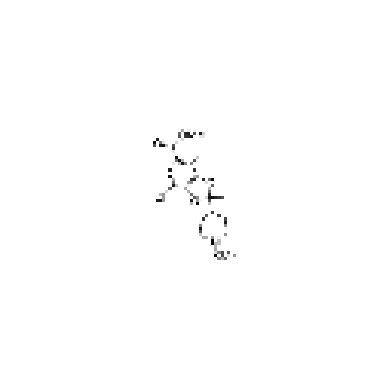 COC(=O)c1cc(Cl)c2c(c1C)OC(C)(C1CCN(SC)CC1)O2